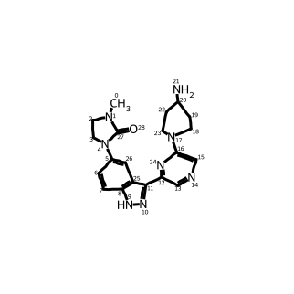 CN1CCN(c2ccc3[nH]nc(-c4cncc(N5CCC(N)CC5)n4)c3c2)C1=O